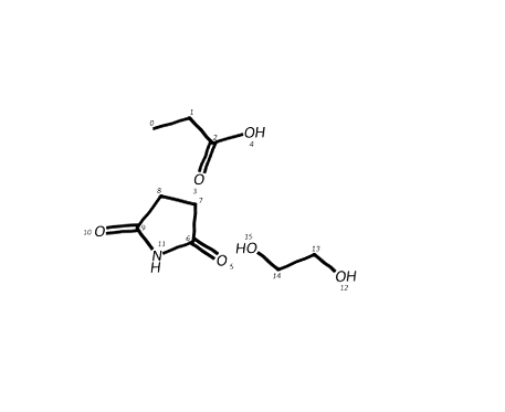 CCC(=O)O.O=C1CCC(=O)N1.OCCO